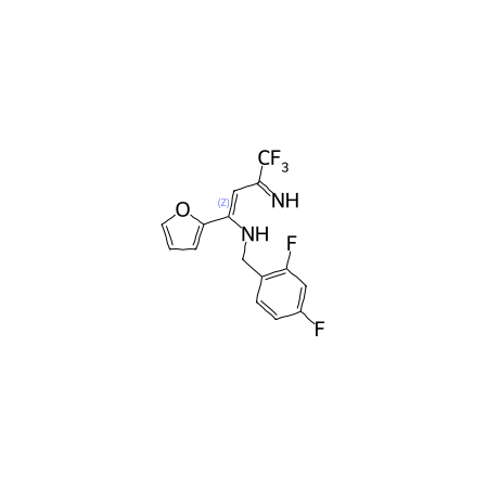 N=C(/C=C(\NCc1ccc(F)cc1F)c1ccco1)C(F)(F)F